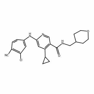 N#Cc1ccc(Nc2cc(C3CC3)c(C(=O)NCC3CCOCC3)cn2)cc1Cl